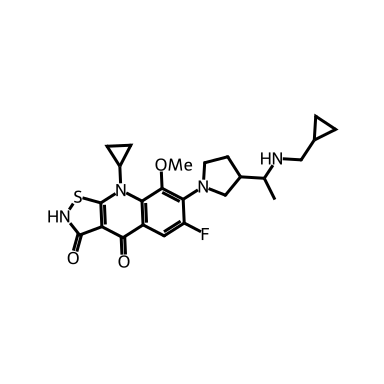 COc1c(N2CCC(C(C)NCC3CC3)C2)c(F)cc2c(=O)c3c(=O)[nH]sc3n(C3CC3)c12